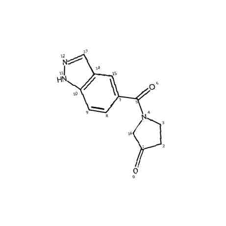 O=C1CCN(C(=O)c2ccc3[nH]ncc3c2)C1